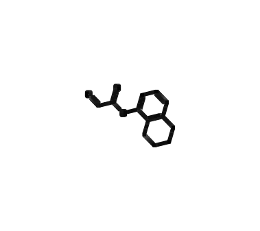 O=CC(=O)Oc1cccc2c1CCCC2